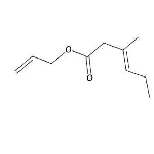 C=CCOC(=O)CC(C)=CCC